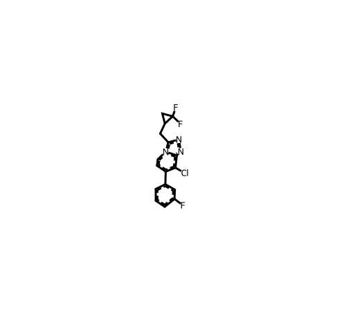 Fc1cccc(-c2ccn3c(CC4CC4(F)F)nnc3c2Cl)c1